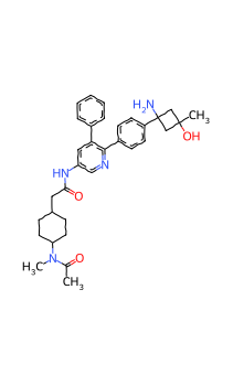 CC(=O)N(C)C1CCC(CC(=O)Nc2cnc(-c3ccc(C4(N)CC(C)(O)C4)cc3)c(-c3ccccc3)c2)CC1